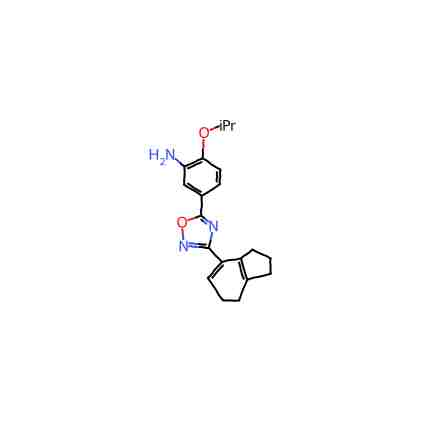 CC(C)Oc1ccc(-c2nc(C3=CCCC4=C3CCC4)no2)cc1N